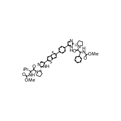 COC(=O)N[C@H](C(=O)N1CCC[C@H]1c1ncc(-c2cc3sc(-c4ccc(-c5cnc([C@@H]6CCCN6C(=O)[C@H](NC(=O)OC)c6ccccc6)[nH]5)cc4)cc3s2)[nH]1)C(C)C